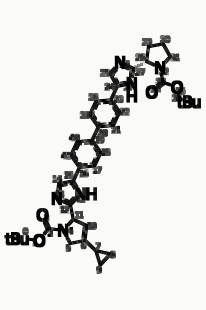 CC(C)(C)OC(=O)N1CC(C2CC2)=CC1c1ncc(-c2ccc(-c3ccc(-c4cnc([C@@H]5CCCN5C(=O)OC(C)(C)C)[nH]4)cc3)cc2)[nH]1